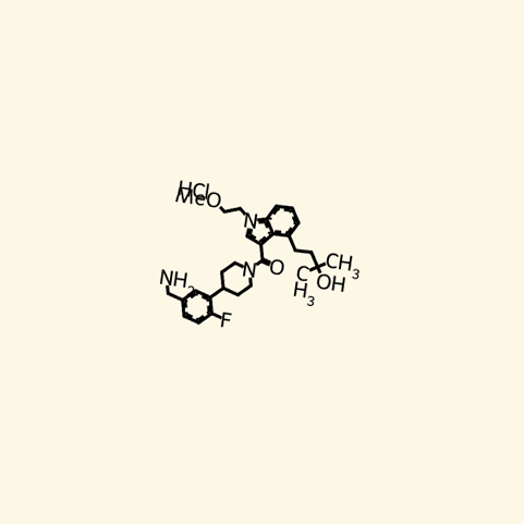 COCCn1cc(C(=O)N2CCC(c3cc(CN)ccc3F)CC2)c2c(CCC(C)(C)O)cccc21.Cl